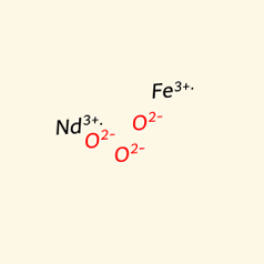 [Fe+3].[Nd+3].[O-2].[O-2].[O-2]